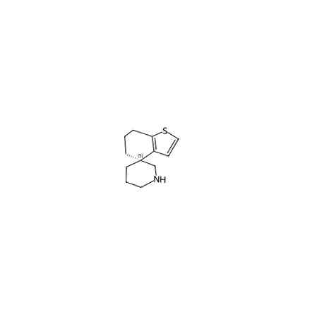 c1cc2c(s1)CCC[C@]21CCCNC1